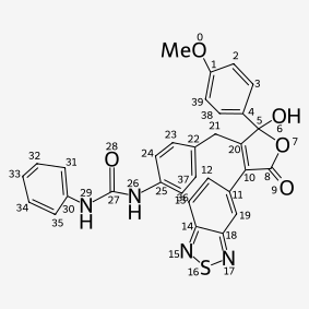 COc1ccc(C2(O)OC(=O)C(c3ccc4nsnc4c3)=C2Cc2ccc(NC(=O)Nc3ccccc3)cc2)cc1